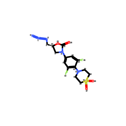 [N-]=[N+]=NC[C@H]1CN(c2cc(F)c(N3CCS(=O)(=O)CC3)c(F)c2)C(=O)O1